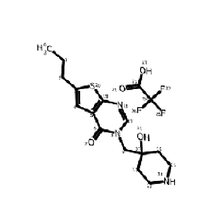 CCCc1cc2c(=O)n(CC3(O)CCNCC3)cnc2s1.O=C(O)C(F)(F)F